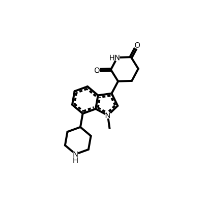 Cn1cc(C2CCC(=O)NC2=O)c2cccc(C3CCNCC3)c21